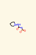 O=C(N=S(=O)=O)NN1CCCCC1